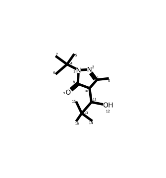 CC1=NN(C(C)(C)C)C(=O)C1C(O)C(C)(C)C